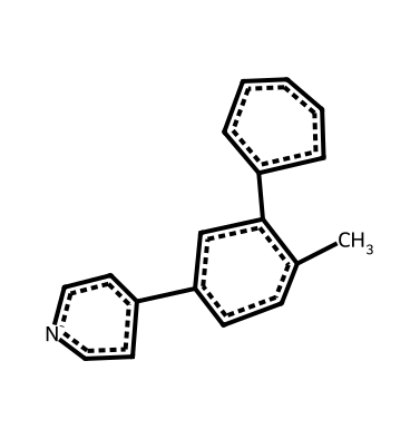 Cc1ccc(-c2ccncc2)cc1-c1ccccc1